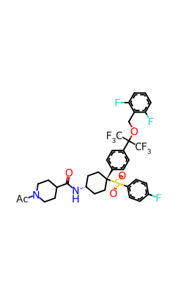 CC(=O)N1CCC(C(=O)N[C@H]2CC[C@@](c3ccc(C(OCc4c(F)cccc4F)(C(F)(F)F)C(F)(F)F)cc3)(S(=O)(=O)c3ccc(F)cc3)CC2)CC1